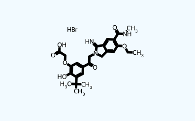 Br.CCOc1cc2c(cc1C(=O)NC)C(=N)N(CC(=O)c1cc(OCC(=O)O)c(O)c(C(C)(C)C)c1)C2